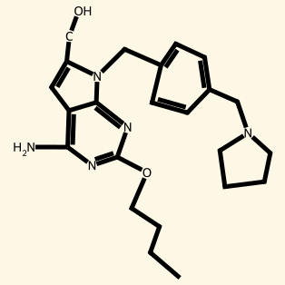 CCCCOc1nc(N)c2cc(CO)n(Cc3ccc(CN4CCCC4)cc3)c2n1